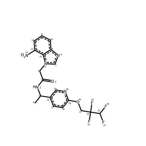 CC(NC(=O)Cn1cnc2cccc([N+](=O)[O-])c21)c1ccc(OCC(F)(F)C(F)F)nc1